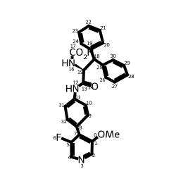 COc1cncc(F)c1-c1ccc(NC(=O)[C@@H](NC(=O)O)C(c2ccccc2)c2ccccc2)cc1